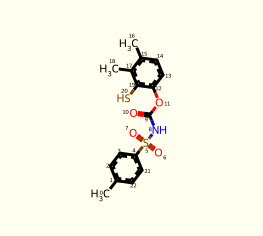 Cc1ccc(S(=O)(=O)NC(=O)Oc2ccc(C)c(C)c2S)cc1